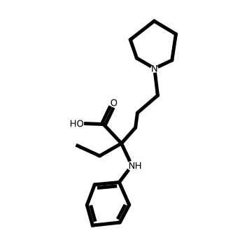 CCC(CCCN1CCCCC1)(Nc1ccccc1)C(=O)O